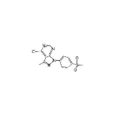 Cc1nn(-c2ccc(S(C)(=O)=O)cc2)c2ncnc(Cl)c12